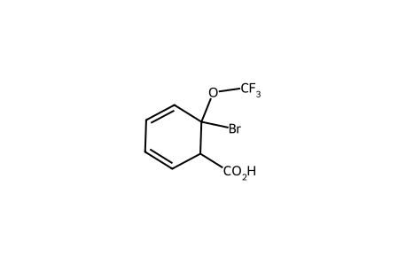 O=C(O)C1C=CC=CC1(Br)OC(F)(F)F